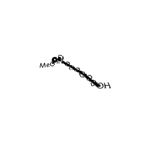 COc1cccc(C(=O)NCCOCCOCCOCCOCCOCCOCCO)c1